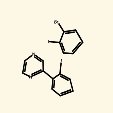 Brc1ccccc1I.Ic1ccccc1-c1cnccn1